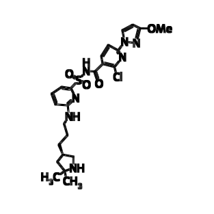 COc1ccn(-c2ccc(C(=O)NS(=O)(=O)c3cccc(NCCC[C@H]4CNC(C)(C)C4)n3)c(Cl)n2)n1